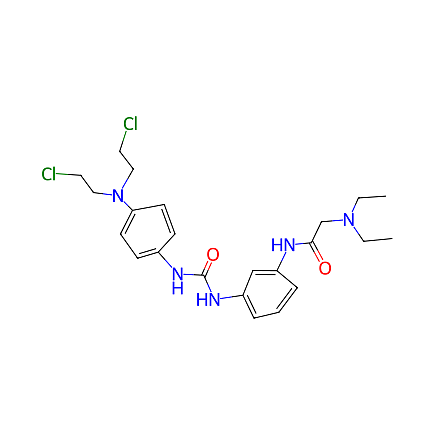 CCN(CC)CC(=O)Nc1cccc(NC(=O)Nc2ccc(N(CCCl)CCCl)cc2)c1